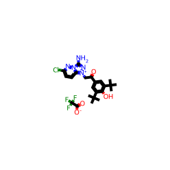 CC(C)(C)c1cc(C(=O)C[n+]2nc(N)n3nc(Cl)ccc32)cc(C(C)(C)C)c1O.O=C([O-])C(F)(F)F